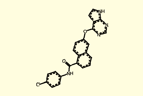 O=C(Nc1ccc(Cl)cc1)c1cccc2cc(Oc3ncnc4[nH]ccc34)ccc12